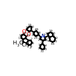 CC1(C)c2ccccc2-c2c1ccc1c2Oc2c(cccc2-c2ccc(-c3cc(-c4ccccc4)cc(-c4cccc5ccccc45)n3)cc2)O1